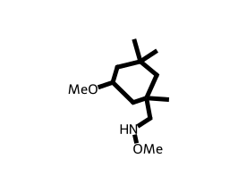 CONCC1(C)CC(OC)CC(C)(C)C1